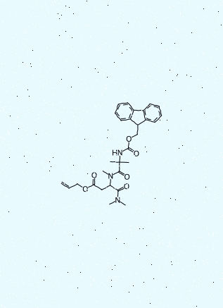 C=CCOC(=O)CC(C(=O)N(C)C)N(C)C(=O)C(C)(C)NC(=O)OCC1c2ccccc2-c2ccccc21